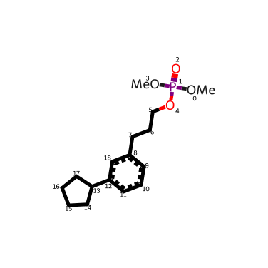 COP(=O)(OC)OCCCc1cccc(C2CCCC2)c1